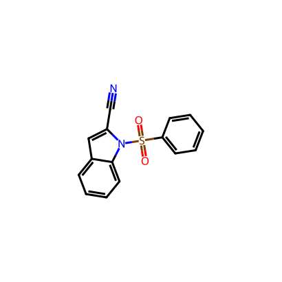 N#Cc1cc2ccccc2n1S(=O)(=O)c1ccccc1